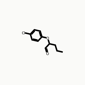 CCCC(C=O)Oc1ccc(Cl)cc1